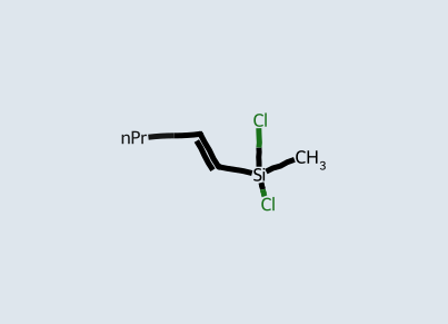 CCC/C=C/[Si](C)(Cl)Cl